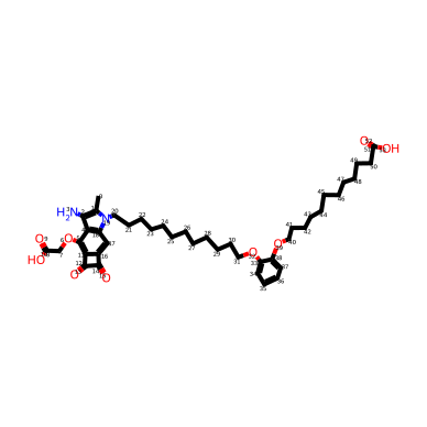 Cc1c(N)c2c(OCC(=O)O)c3c(=O)c(=O)c3cc2n1CCCCCCCCCCCCOc1ccccc1OCCCCCCCCCCCC(=O)O